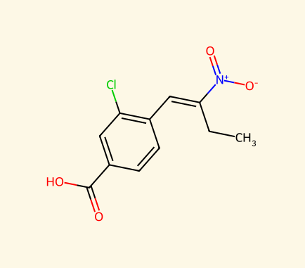 CC/C(=C\c1ccc(C(=O)O)cc1Cl)[N+](=O)[O-]